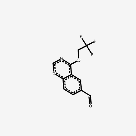 O=Cc1ccc2ncnc(OCC(F)(F)F)c2c1